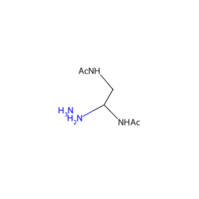 CC(=O)NCC(N)NC(C)=O.N